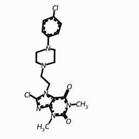 Cn1c(=O)c2c(nc(Cl)n2CCN2CCN(c3ccc(Cl)cc3)CC2)n(C)c1=O